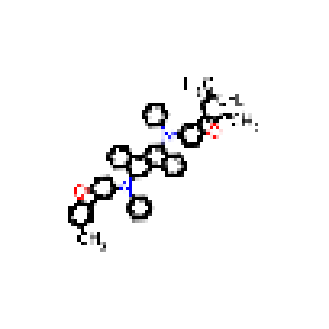 C=Cc1oc2ccc(N(c3ccccc3)c3cc4c5ccccc5c(N(c5ccccc5)c5ccc6oc7ccc(C)cc7c6c5)cc4c4ccccc34)cc2c1C=C(C)C